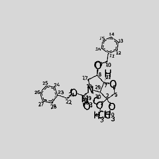 COC1(OC)CO[C@@H]2[C@H](OCc3ccccc3)CN(C(=O)OCc3ccccc3)[C@@]21C